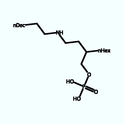 CCCCCCCCCCCCNCCC(CCCCCC)COP(=O)(O)O